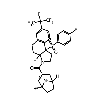 CC(=O)N1[C@@H]2CC[C@H]1C[C@H](C(=O)N1CC[C@@]3(S(=O)(=O)c4ccc(F)cc4)c4ccc(C(F)(C(F)(F)F)C(F)(F)F)cc4CC[C@@H]13)C2